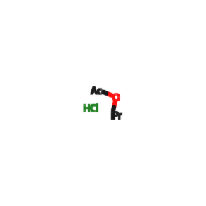 CC(=O)OC(C)C.Cl